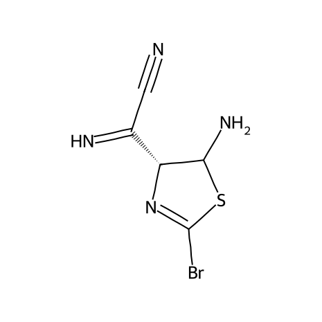 N#CC(=N)[C@H]1N=C(Br)SC1N